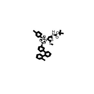 CSC1SC(NC(=O)OC(C)(C)C)=CC1=[N+](OSc1cccc(-c2ccccc2-c2ccccc2C)c1)S(=O)(=O)c1ccc(C)cc1